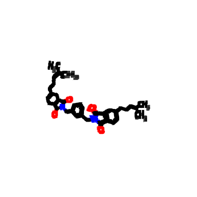 CC(C)=CCCC1=CCC2=C(C1)C(=O)N(Cc1cccc(CN3C(=O)C4=C(CC(CCC=C(C)C)=CC4)C3=O)c1)C2=O